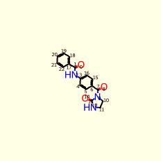 O=C(Nc1ccc(C(=O)N2CCNC2=O)cc1)c1ccccc1